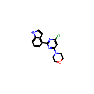 Clc1cc(N2CCOCC2)nc(-c2cccc3[nH]ccc23)n1